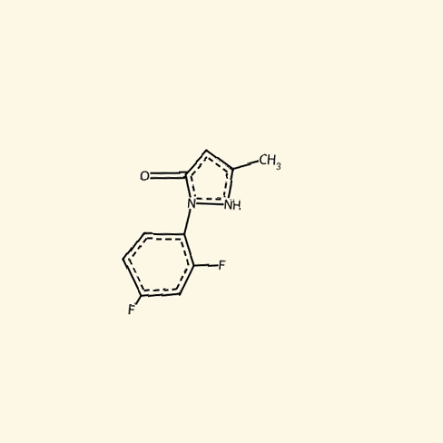 Cc1cc(=O)n(-c2ccc(F)cc2F)[nH]1